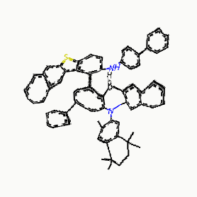 Cc1cc2c(cc1N1c3cc4ccccc4cc3Bc3c(-c4c(Nc5ccc(-c6ccccc6)cc5)ccc5sc6cc7ccccc7cc6c45)cc(-c4ccccc4)cc31)C(C)(C)CCC2(C)C